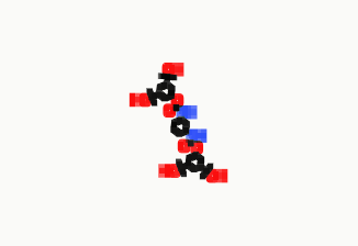 CC(C)(O)c1cc(OC(=O)Nc2cccc(NC(=O)Oc3cc(C(C)(C)O)cc(C(C)(C)O)c3)c2)cc(C(C)(C)O)c1